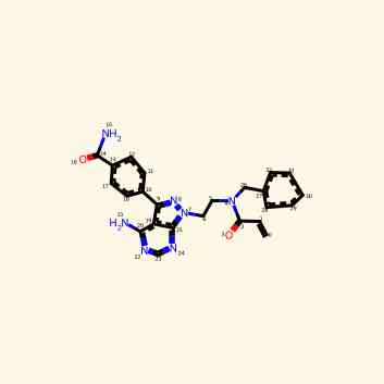 C=CC(=O)N(CCn1nc(-c2ccc(C(N)=O)cc2)c2c(N)ncnc21)Cc1ccccc1